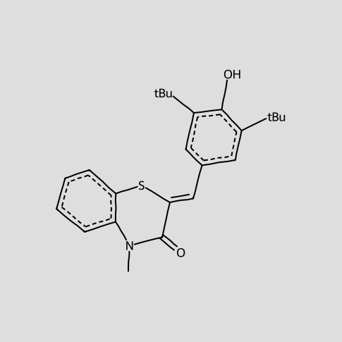 CN1C(=O)/C(=C/c2cc(C(C)(C)C)c(O)c(C(C)(C)C)c2)Sc2ccccc21